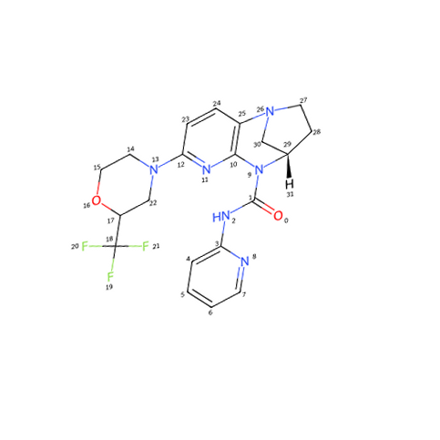 O=C(Nc1ccccn1)N1c2nc(N3CCOC(C(F)(F)F)C3)ccc2N2CC[C@H]1C2